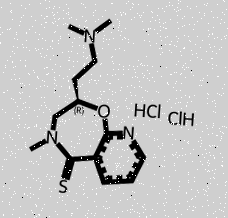 CN(C)CC[C@@H]1CN(C)C(=S)c2cccnc2O1.Cl.Cl